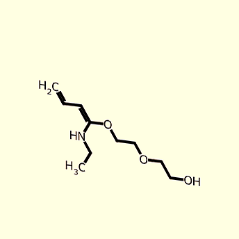 C=C/C=C(\NCC)OCCOCCO